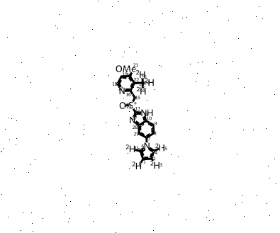 [2H]c1c([2H])c([2H])n(-c2ccc3[nH]c([S+]([O-])Cc4nccc(OC)c4C([2H])([2H])[2H])nc3c2)c1[2H]